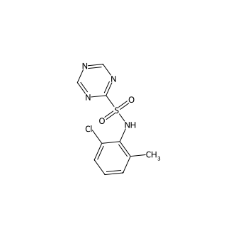 Cc1cccc(Cl)c1NS(=O)(=O)c1ncncn1